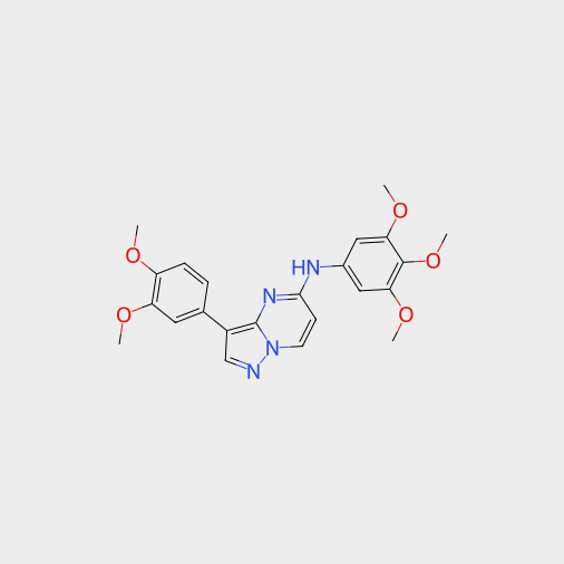 COc1ccc(-c2cnn3ccc(Nc4cc(OC)c(OC)c(OC)c4)nc23)cc1OC